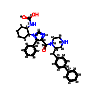 O=C(O)N[C@H]1CCCC[C@@H]1n1cnc(C(=O)N2CCNC[C@H]2Cc2ccc(-c3ccccc3)cc2)c1-c1ccccc1